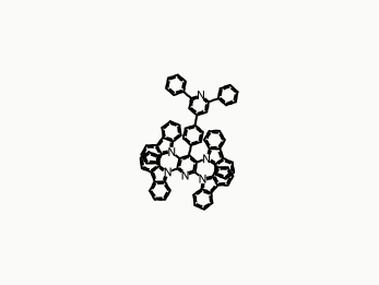 c1ccc(-c2cc(-c3ccc(-c4c(-n5c6ccccc6c6ccccc65)c(-n5c6ccccc6c6ccccc65)nc(-n5c6ccccc6c6ccccc65)c4-n4c5ccccc5c5ccccc54)cc3)cc(-c3ccccc3)n2)cc1